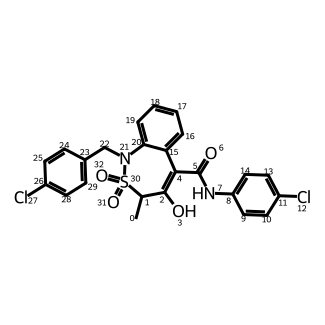 CC1C(O)=C(C(=O)Nc2ccc(Cl)cc2)c2ccccc2N(Cc2ccc(Cl)cc2)S1(=O)=O